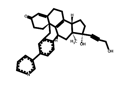 C[C@]12C[C@H]3C4=C(CCC5=CC(=O)CC[C@@]54Cc4cc(-c5cccnc5)ccc43)[C@@H]1CC[C@@]2(O)C#CCO